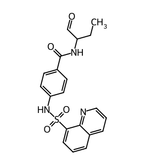 CCC(C=O)NC(=O)c1ccc(NS(=O)(=O)c2cccc3cccnc23)cc1